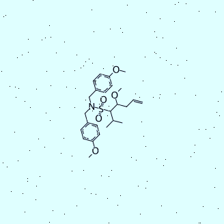 C=CCC(OC)C(C(C)C)S(=O)(=O)N(Cc1ccc(OC)cc1)Cc1ccc(OC)cc1